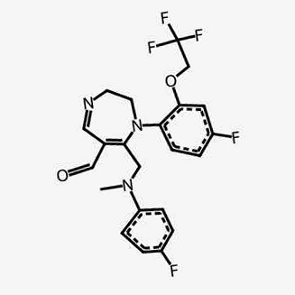 CN(CC1=C(C=O)C=NCCN1c1ccc(F)cc1OCC(F)(F)F)c1ccc(F)cc1